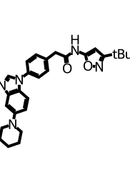 CC(C)(C)c1cc(NC(=O)Cc2ccc(-n3cnc4cc(N5CCCCC5)ccc43)cc2)on1